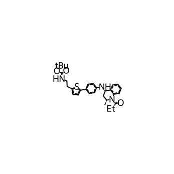 CCC(=O)N1c2ccccc2[C@H](Nc2ccc(-c3ccc(CCNC(=O)OC(C)(C)C)s3)cc2)C[C@@H]1C